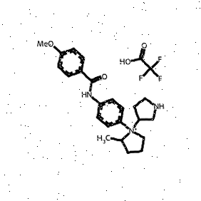 COc1ccc(C(=O)Nc2ccc([N+]3(C4CCNC4)CCCC3C)cc2)cc1.O=C(O)C(F)(F)F